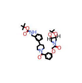 CC(C)(C)OC(=O)NCc1cccc(C2CCN(C(=O)c3cccc(OCC(=O)N4C[C@@H]5OC(C)(C)O[C@@H]5C4)c3)CC2)c1